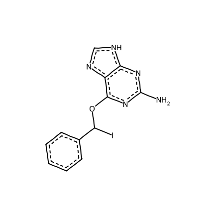 Nc1nc(OC(I)c2ccccc2)c2nc[nH]c2n1